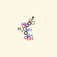 CC(Nc1cccc(NC(=O)O)c1)c1cc2cc(Cl)c(OCC3CC3)cc2[nH]c1=O